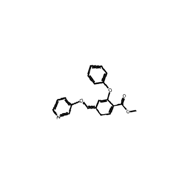 COC(=O)C1=CCC(=COc2cccnc2)C=C1Oc1ccccc1